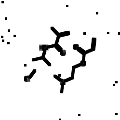 C=C(C)C(=O)NC(C)C.C=CC(=O)OCCN(C)C.CCl